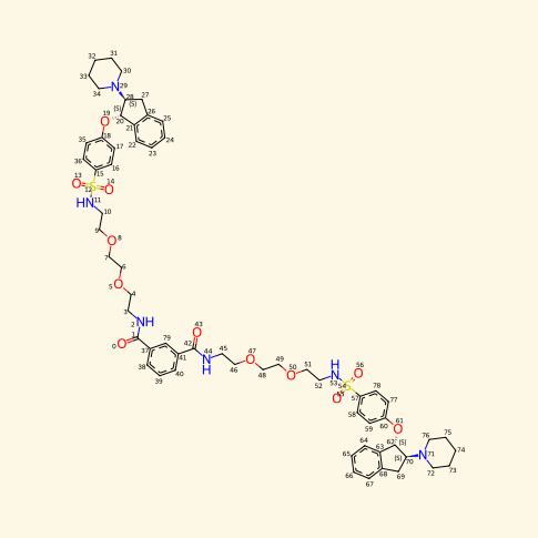 O=C(NCCOCCOCCNS(=O)(=O)c1ccc(O[C@H]2c3ccccc3C[C@@H]2N2CCCCC2)cc1)c1cccc(C(=O)NCCOCCOCCNS(=O)(=O)c2ccc(O[C@H]3c4ccccc4C[C@@H]3N3CCCCC3)cc2)c1